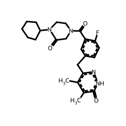 Cc1c(Cc2ccc(F)c(C(=O)N3CCN(C4CCCCC4)C(=O)C3)c2)n[nH]c(=O)c1C